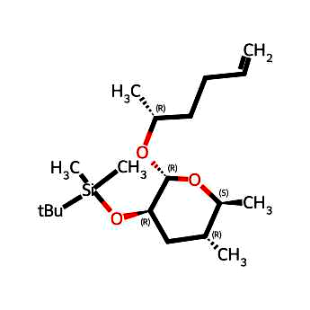 C=CCC[C@@H](C)O[C@@H]1O[C@@H](C)[C@H](C)C[C@H]1O[Si](C)(C)C(C)(C)C